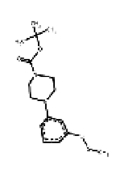 CSOc1cccc(N2CCN(C(=O)OC(C)(C)C)CC2)c1